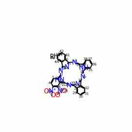 O=[N+]([O-])c1ccc2c3nc4nc(nc5[nH]c(nc6nc(nc([nH]3)c2c1[N+](=O)[O-])-c1ccccc1-6)c1ccccc51)-c1ccccc1-4.[Rh+3]